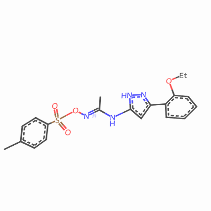 CCOc1ccccc1-c1cc(N/C(C)=N/OS(=O)(=O)c2ccc(C)cc2)[nH]n1